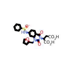 O=C(O)CC(C(=O)O)n1c(=O)c2ccc(N[S+]([O-])c3ccccc3)cc2n(Cc2ccco2)c1=O